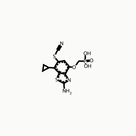 N#CSc1cc(OCP(=O)(O)O)c2nc(N)sc2c1C1CC1